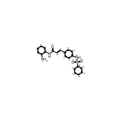 Nc1ccccc1NC(=O)/C=C/c1ccc(NS(=O)(=O)c2ccccc2)cc1